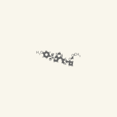 COCOC1(c2ncc(-c3ncnc4c3ccn4S(=O)(=O)c3ccc(C)cc3)s2)CCC1